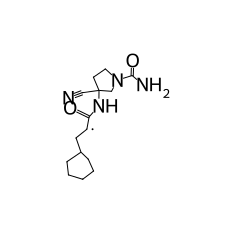 N#CC1(NC(=O)[CH]CC2CCCCC2)CCN(C(N)=O)C1